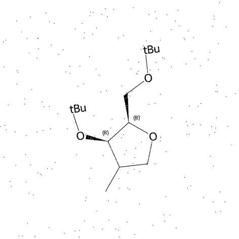 CC1CO[C@H](COC(C)(C)C)[C@@H]1OC(C)(C)C